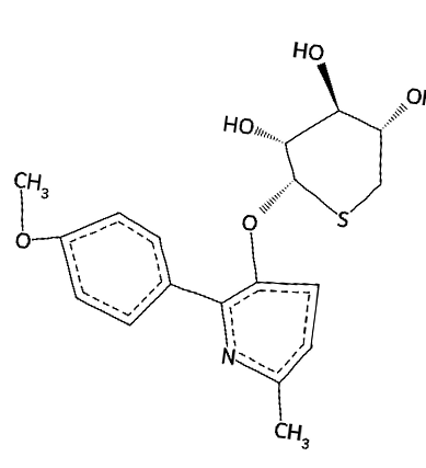 COc1ccc(-c2nc(C)ccc2O[C@H]2SC[C@@H](O)[C@H](O)[C@H]2O)cc1